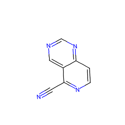 N#Cc1nccc2ncncc12